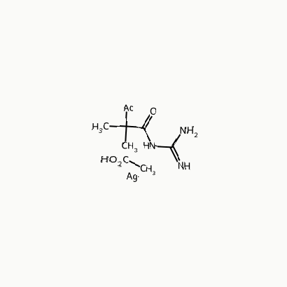 CC(=O)C(C)(C)C(=O)NC(=N)N.CC(=O)O.[Ag]